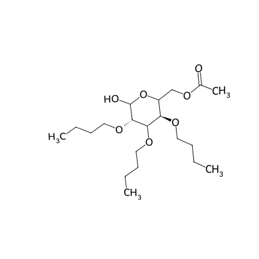 CCCCOC1[C@H](OCCCC)C(O)OC(COC(C)=O)[C@H]1OCCCC